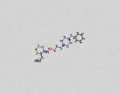 CCCCC=C1CCCCC1=NOCCCN1CCN(Cc2ccccc2)CC1